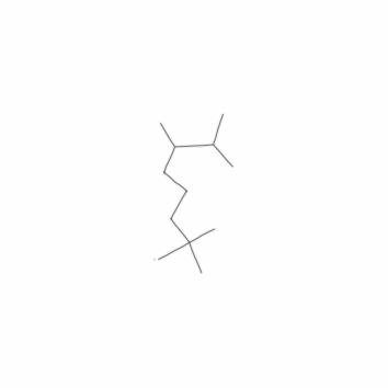 [CH2]C(C)(C)CCCC(C)C(C)C